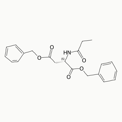 CCC(=O)N[C@@H](CC(=O)OCc1ccccc1)C(=O)OCc1ccccc1